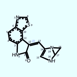 O=C1Nc2ccc3ncsc3c2/C1=C/C1=CNC2CN12